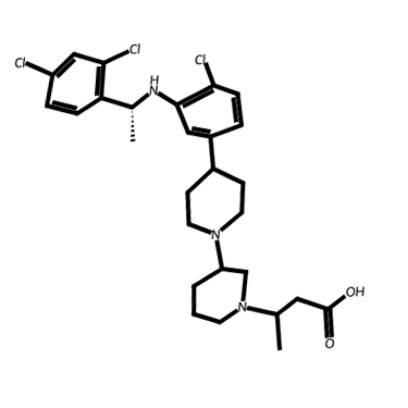 CC(CC(=O)O)N1CCCC(N2CCC(c3ccc(Cl)c(N[C@H](C)c4ccc(Cl)cc4Cl)c3)CC2)C1